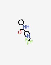 O=CC(NC1CCCCC1)C1CCN(CC(F)(F)F)CC1